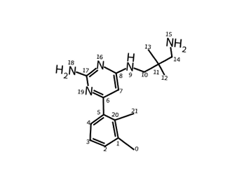 Cc1cccc(-c2cc(NCC(C)(C)CN)nc(N)n2)c1C